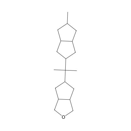 CC1CC2CC(C(C)(C)C3CC4COCC4C3)CC2C1